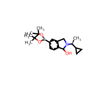 C[C@@H](C1CC1)N1Cc2cc(B3OC(C)(C)C(C)(C)O3)ccc2C1O